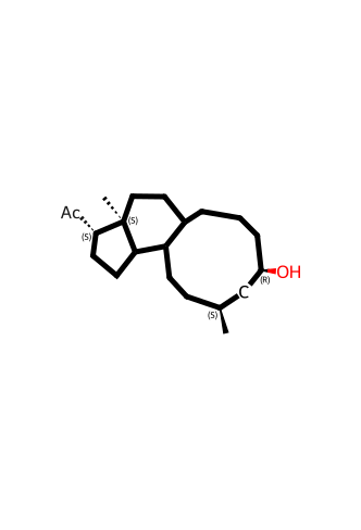 CC(=O)[C@H]1CCC2C3CC[C@H](C)C[C@H](O)CCCC3CC[C@@]21C